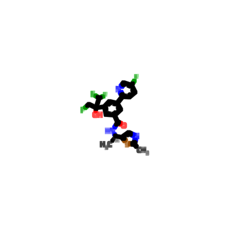 Cc1ncc([C@@H](C)NC(=O)c2cc(-c3ccc(F)cn3)cc(C(O)(CF)C(F)F)c2)s1